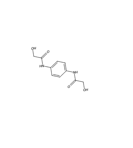 O=C(CO)Nc1ccc(NC(=O)CO)cc1